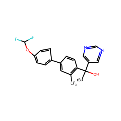 CC(C)(C)C(O)(c1cncnc1)c1ccc(-c2ccc(OC(F)F)cc2)cc1C(F)(F)F